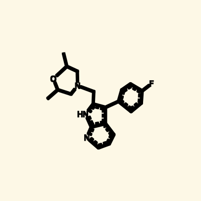 CC1CN(Cc2[nH]c3ncccc3c2-c2ccc(F)cc2)CC(C)O1